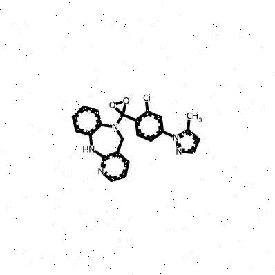 Cc1ccnn1-c1ccc(C2(N3Cc4cccnc4Nc4ccccc43)OO2)c(Cl)c1